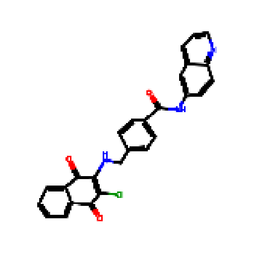 O=C(Nc1ccc2ncccc2c1)c1ccc(CNC2=C(Cl)C(=O)c3ccccc3C2=O)cc1